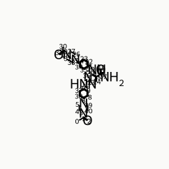 CC(=O)N1CCN(c2ccc(Nc3ncc(C(N)=O)c(Nc4ccc(N5CCN(C(C)=O)CC5)cc4)n3)cc2)CC1